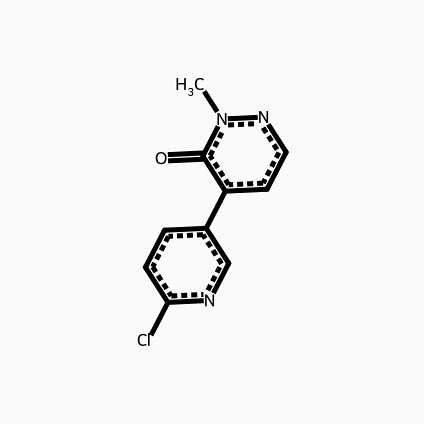 Cn1nccc(-c2ccc(Cl)nc2)c1=O